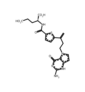 C=C(CCn1ccc2[nH]c(N)nc(=O)c21)c1ccc(C(=O)N[C@@H](CCC(=O)O)C(=O)O)s1